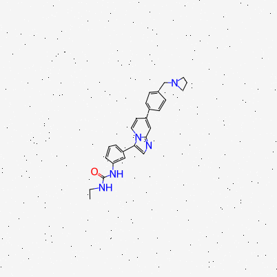 CCNC(=O)Nc1cccc(-c2cnc3cc(-c4ccc(CN5CCC5)cc4)ccn23)c1